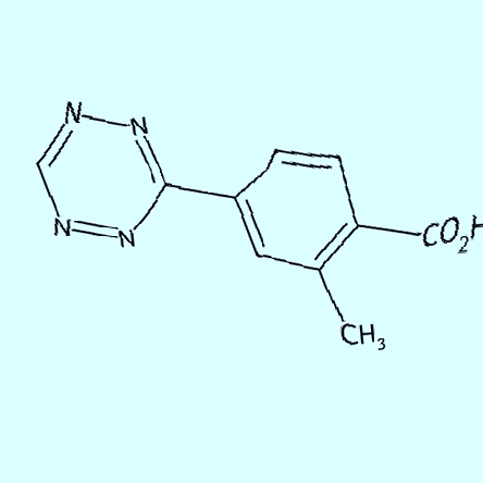 Cc1cc(-c2nncnn2)ccc1C(=O)O